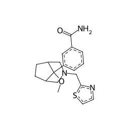 COC1(c2cccc(C(N)=O)c2)C2CCC1CN(Cc1nccs1)C2